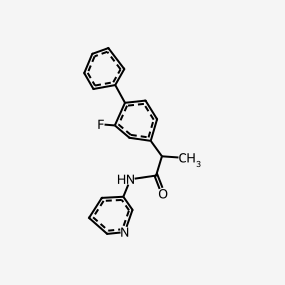 CC(C(=O)Nc1cccnc1)c1ccc(-c2ccccc2)c(F)c1